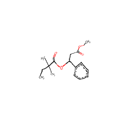 CCC(C)(C)C(=O)OC(CC(=O)OC)c1ccccc1